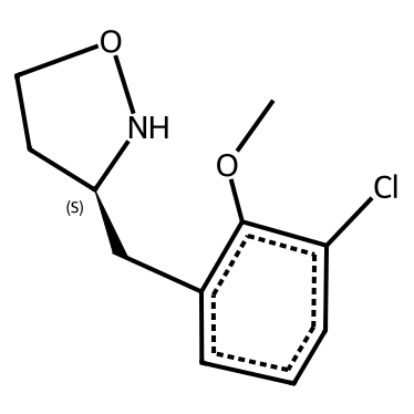 COc1c(Cl)cccc1C[C@H]1CCON1